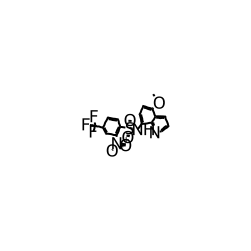 COc1ccc(NS(=O)(=O)c2ccc(C(F)(F)F)cc2[N+](=O)[O-])c2ncccc12